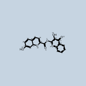 O=C(Oc1oc2ccccc2c(=O)c1O)C1=CC=C2C=CC(O)=CC2O1